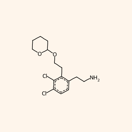 NCCc1ccc(Cl)c(Cl)c1CCOC1CCCCO1